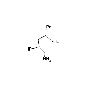 CC(C)C(N)CC(CN)C(C)C